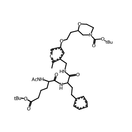 CC(=O)NC(CCCC(=O)OC(C)(C)C)C(=O)NC(CCc1ccccc1)C(=O)NCc1cc(OCCC2CN(C(=O)OC(C)(C)C)CCO2)ccc1C